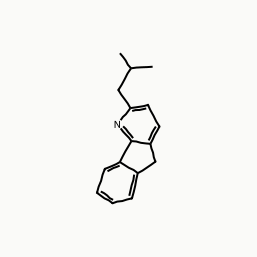 CC(C)Cc1ccc2c(n1)-c1ccccc1C2